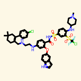 CN1CCC(Nc2ccc(S(=O)(=O)NC(=O)c3ccc(NCCNCC4=C(c5ccc(Cl)cc5)CC(C)(C)CC4)cc3Oc3ccc4[nH]ccc4c3)cc2S(=O)(=O)C(F)(F)Cl)CC1